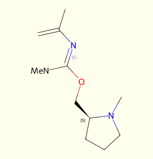 C=C(C)/N=C(\NC)OC[C@@H]1CCCN1C